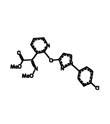 CON=C(C(=O)OC)c1cccnc1Oc1ccn(-c2ccc(Cl)cc2)n1